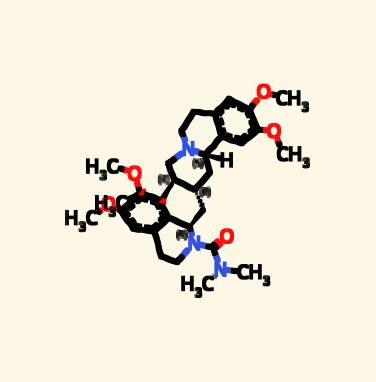 CCC[C@H]1CN2CCc3cc(OC)c(OC)cc3[C@@H]2C[C@@H]1C[C@@H]1c2cc(OC)c(OC)cc2CCN1C(=O)N(C)C